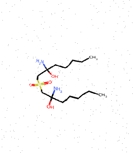 CCCCCC(N)(O)CS(=O)(=O)CC(N)(O)CCCCC